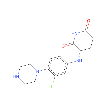 O=C1CC[C@H](Nc2ccc(N3CCNCC3)c(F)c2)C(=O)N1